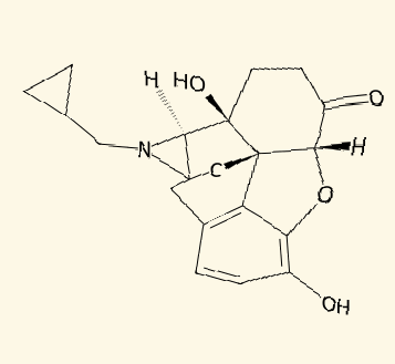 O=C1CC[C@@]2(O)[C@@H]3N(CC4CC4)C34Cc3ccc(O)c5c3[C@@]2(C4)[C@H]1O5